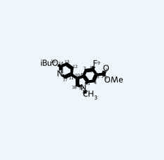 COC(=O)c1cc2c(cc1F)c(-c1ccc(OCC(C)C)nc1)cn2C